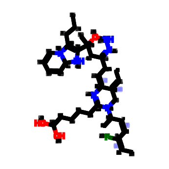 C/C=C1/CN(C(C)/C=C\C(F)=C/C)C(CCCCC(O)O)=N/C1=C/CC1=NNOC(C)(C2=C(CCC)N3C=CC=CC3N2)C1